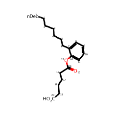 CCCCCCCCCCCCCCCCc1ccccc1OC(=O)CCCCC(=O)O